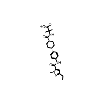 CCc1cc(C(=O)Nc2ccc([C@H]3CC[C@H](C(=O)NC(C)(C)C(=O)O)CC3)cc2)n(C)n1